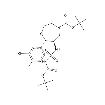 CC(C)(C)OC(=O)NS(=O)(=O)N[C@@H]1CN(C(=O)OC(C)(C)C)CCO[C@H]1c1ccc(Cl)c(Cl)c1